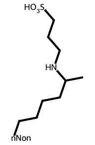 CCCCCCCCCCCCCC(C)NCCCS(=O)(=O)O